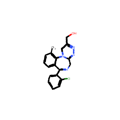 OCC1=NN=C2CN=C(c3ccccc3Cl)c3cccc(C(F)(F)F)c3N2C1